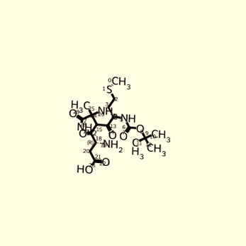 CSCC[C@@H](NC(=O)OC(C)(C)C)C(=O)C(C(=O)[C@H](N)CC(=O)O)C(C)(N)C(N)=O